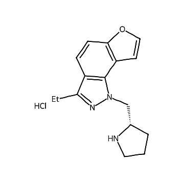 CCc1nn(C[C@@H]2CCCN2)c2c1ccc1occc12.Cl